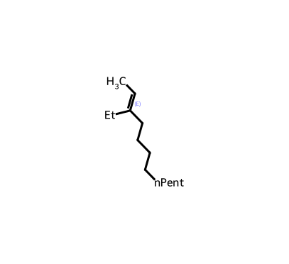 C/C=C(\CC)CCCCCCCCC